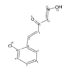 O=C(C=Cc1ccccc1Cl)C=NO